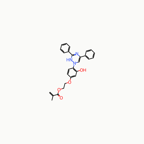 C=C(C)C(=O)OCCOc1ccc(N2C=C(c3ccccc3)N=C(c3ccccc3)N2)c(O)c1